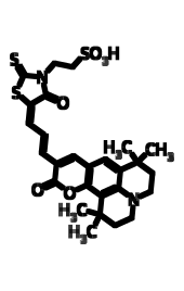 CC1(C)CCN2CCC(C)(C)c3c2c1cc1cc(C=CC=C2SC(=S)N(CCS(=O)(=O)O)C2=O)c(=O)oc31